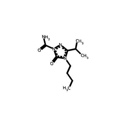 CCCCn1c(C(C)C)nn(C(N)=O)c1=O